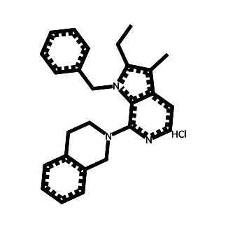 CCc1c(C)c2ccnc(N3CCc4ccccc4C3)c2n1Cc1ccccc1.Cl